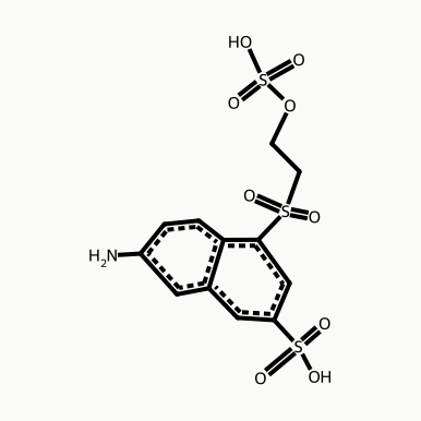 Nc1ccc2c(S(=O)(=O)CCOS(=O)(=O)O)cc(S(=O)(=O)O)cc2c1